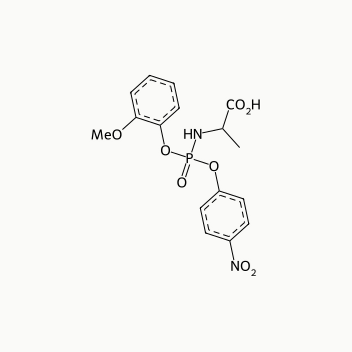 COc1ccccc1OP(=O)(NC(C)C(=O)O)Oc1ccc([N+](=O)[O-])cc1